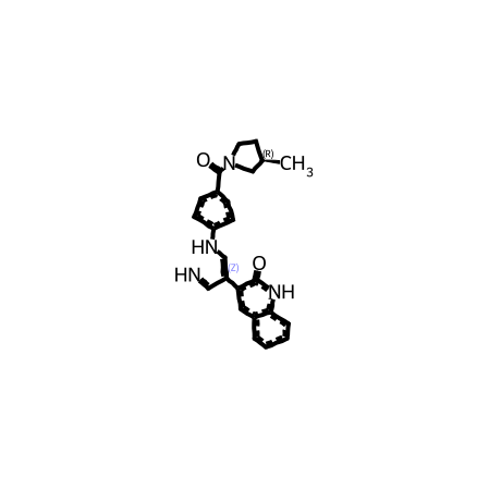 C[C@@H]1CCN(C(=O)c2ccc(N/C=C(\C=N)c3cc4ccccc4[nH]c3=O)cc2)C1